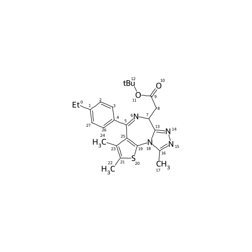 CCc1ccc(C2=NC(CC(=O)OC(C)(C)C)c3nnc(C)n3-c3sc(C)c(C)c32)cc1